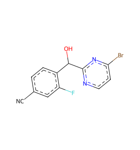 N#Cc1ccc(C(O)c2nccc(Br)n2)c(F)c1